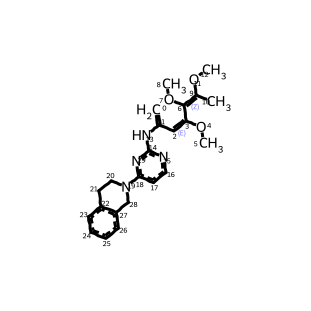 C=C(/C=C(OC)\C(OC)=C(/C)OC)Nc1nccc(N2CCc3ccccc3C2)n1